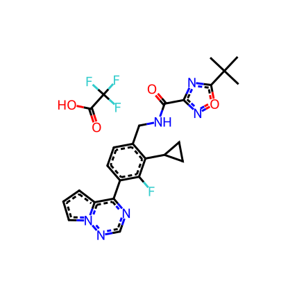 CC(C)(C)c1nc(C(=O)NCc2ccc(-c3ncnn4cccc34)c(F)c2C2CC2)no1.O=C(O)C(F)(F)F